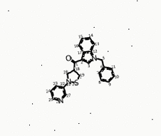 O=C(c1cn(Cc2ccccc2)c2ccccc12)C1CSN(c2cccnc2)C1